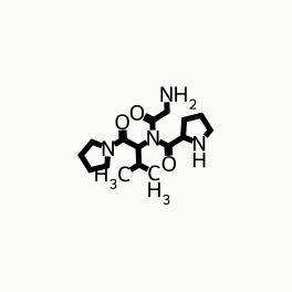 CC(C)C(C(=O)N1CCCC1)N(C(=O)CN)C(=O)C1CCCN1